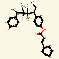 CC(C)CC(c1ccc(OC(=O)/C=C/c2ccccc2)cc1)C(C)(C)C(C)(C)C(c1ccc(O)cc1)C(C)(C)C